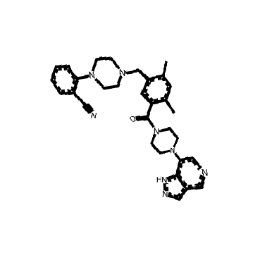 Cc1cc(C)c(C(=O)N2CCN(c3cncc4cn[nH]c34)CC2)cc1CN1CCN(c2ccccc2C#N)CC1